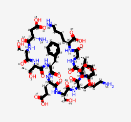 C[C@@H](O)[C@H](NC(=O)[C@H](CO)NC(=O)[C@@H](N)CC(=O)O)C(=O)N[C@@H](Cc1ccccc1)C(=O)N[C@@H](CCC(=O)O)C(=O)N[C@@H](CO)C(=O)N[C@@H](CCCCN)C(=O)N[C@@H](CO)C(=O)N[C@@H](Cc1ccc(O)cc1)C(=O)N[C@@H](CCCCN)C(=O)O